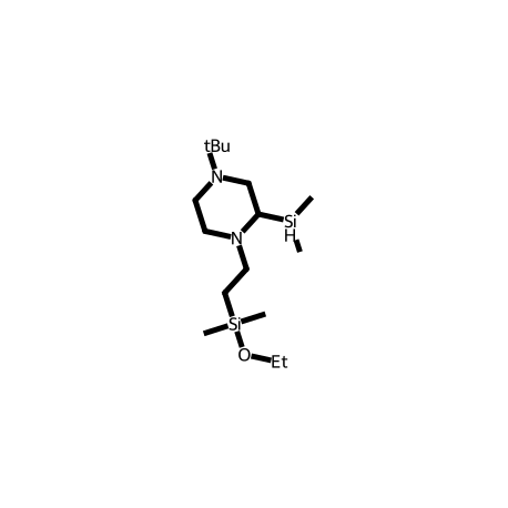 CCO[Si](C)(C)CCN1CCN(C(C)(C)C)CC1[SiH](C)C